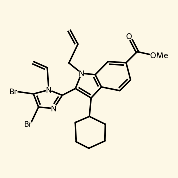 C=CCn1c(-c2nc(Br)c(Br)n2C=C)c(C2CCCCC2)c2ccc(C(=O)OC)cc21